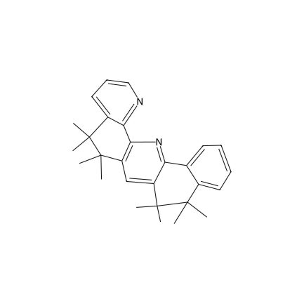 CC1(C)c2ccccc2-c2nc3c(cc2C1(C)C)C(C)(C)C(C)(C)c1cccnc1-3